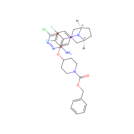 Nc1nnc(Cl)cc1N1C[C@H]2CC[C@@H](C1)N2c1cc(F)c(F)c(OC2CCN(C(=O)OCc3ccccc3)CC2)c1